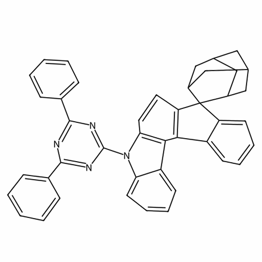 c1ccc(-c2nc(-c3ccccc3)nc(-n3c4ccccc4c4c5c(ccc43)C3(c4ccccc4-5)C4CC5CC(C4)CC3C5)n2)cc1